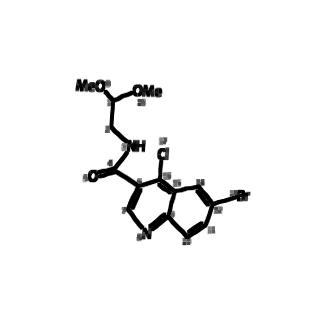 COC(CNC(=O)c1cnc2ccc(Br)cc2c1Cl)OC